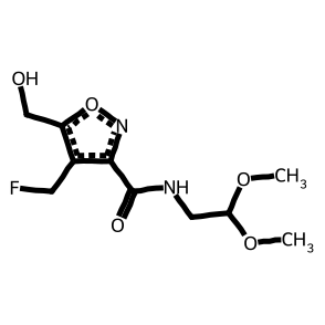 COC(CNC(=O)c1noc(CO)c1CF)OC